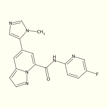 Cn1cncc1-c1cc(C(=O)Nc2ccc(F)cn2)n2nccc2c1